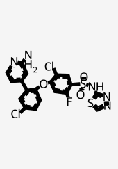 Nc1cc(-c2cc(Cl)ccc2Oc2cc(F)c(S(=O)(=O)Nc3nncs3)cc2Cl)ccn1